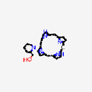 C1=Cc2cc3ccc(cc4nc(cc5ccc(cc1n2)[nH]5)C=C4)[nH]3.OCc1ccccn1